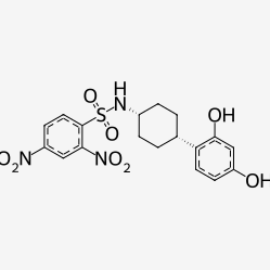 O=[N+]([O-])c1ccc(S(=O)(=O)N[C@H]2CC[C@@H](c3ccc(O)cc3O)CC2)c([N+](=O)[O-])c1